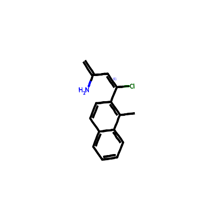 C=C(N)/C=C(/Cl)c1ccc2ccccc2c1C